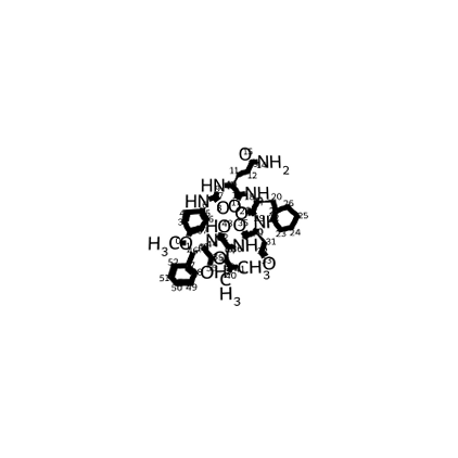 COc1ccc(NC(=O)N[C@@H](CCC(N)=O)C(=O)N[C@@H](CC2CCCCC2)C(=O)N[C@@H](CC=O)C(=O)N[C@@H](CC(C)C)C(=O)N[C@@H](Cc2ccccc2)C(=O)O)cc1